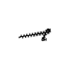 CCCCCCCCCCCCCCCCCCC(=CCCCO)c1ccncc1